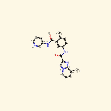 Cc1ccc(NC(=O)c2cn3cccc(C)c3n2)cc1C(=O)Nc1cccnc1